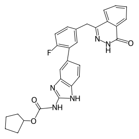 O=C(Nc1nc2cc(-c3cc(Cc4n[nH]c(=O)c5ccccc45)ccc3F)ccc2[nH]1)OC1CCCC1